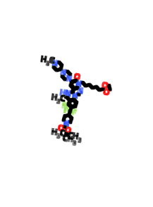 C[C@@H](Nc1ncnc2c1cc(N1CCN(C3CCN(C)CC3)CC1)c(=O)n2CCCCCCC1OCCO1)c1cccc(C(F)(F)C2CCN(C(=O)OC(C)(C)C)CC2)c1F